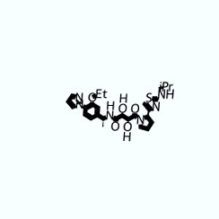 CCOc1cc([C@@H](C)NC(=O)[C@H](O)[C@@H](O)C(=O)N2CCC[C@@H]2c2csc(NC(C)C)n2)ccc1-n1cccn1